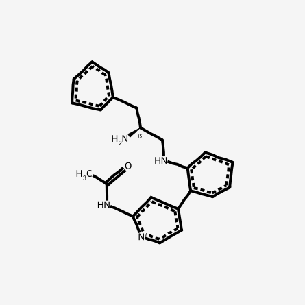 CC(=O)Nc1[c]c(-c2ccccc2NC[C@@H](N)Cc2ccccc2)ccn1